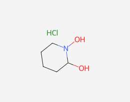 Cl.OC1CCCCN1O